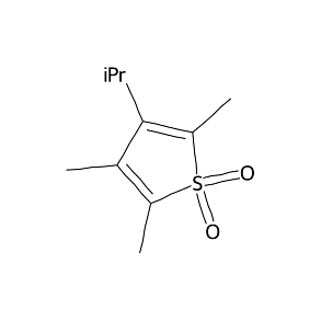 CC1=C(C)S(=O)(=O)C(C)=C1C(C)C